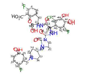 O=C(O)c1c(F)ccc2c1OB(O)[C@@H](NC(=O)[C@H](NC(=O)N1CCN(C3CCN(Cc4cc(O)ccc4F)CC3)C1=O)c1cc(F)c(O)c(O)c1Cl)C2